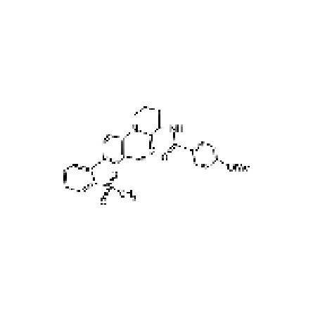 COc1ccc(C(=O)NC2CCCN(c3ccc(-c4ccccc4S(C)(=O)=O)cc3F)C2=O)cc1